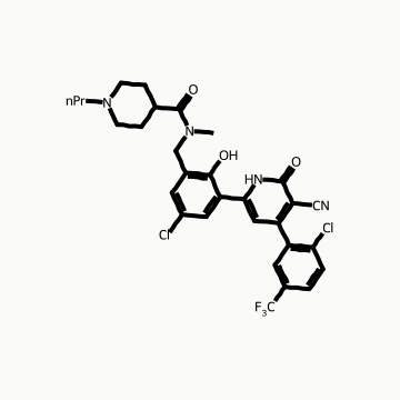 CCCN1CCC(C(=O)N(C)Cc2cc(Cl)cc(-c3cc(-c4cc(C(F)(F)F)ccc4Cl)c(C#N)c(=O)[nH]3)c2O)CC1